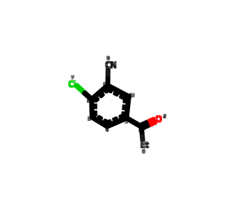 CCC(=O)c1ccc(Cl)c(C#N)c1